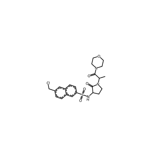 CC(C(=O)N1CCOCC1)N1CCC(NS(=O)(=O)c2ccc3cc(CCl)ccc3c2)C1=O